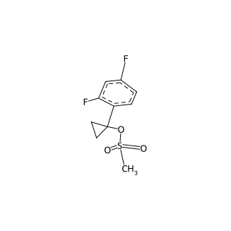 CS(=O)(=O)OC1(c2ccc(F)cc2F)CC1